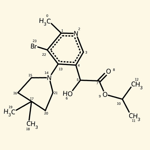 Cc1ncc(C(O)C(=O)OC(C)C)c(N2CCC(C)(C)CC2)c1Br